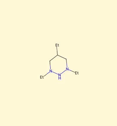 CCC1CN(CC)NN(CC)C1